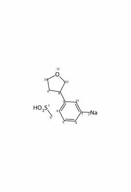 CS(=O)(=O)O.[Na][c]1cccc(C2CCOC2)c1